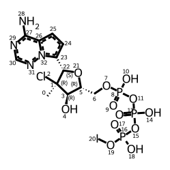 C[C@@]1(Cl)[C@H](O)[C@@H](COP(=O)(O)OP(=O)(O)OP(=O)(O)OI)O[C@H]1c1ccc2c(N)ncnn12